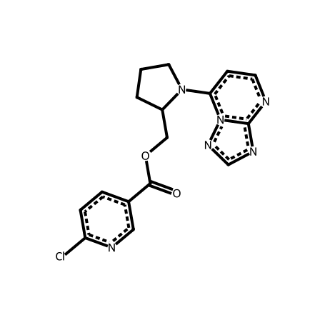 O=C(OCC1CCCN1c1ccnc2ncnn12)c1ccc(Cl)nc1